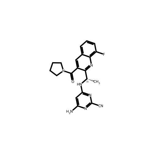 C[C@H](Nc1cc(N)nc(C#N)n1)c1nc2c(F)cccc2cc1C(=O)N1CCCC1